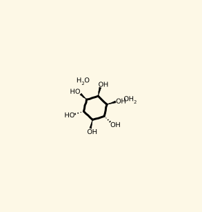 O.O.O[C@H]1[C@H](O)[C@@H](O)[C@H](O)[C@@H](O)[C@H]1O